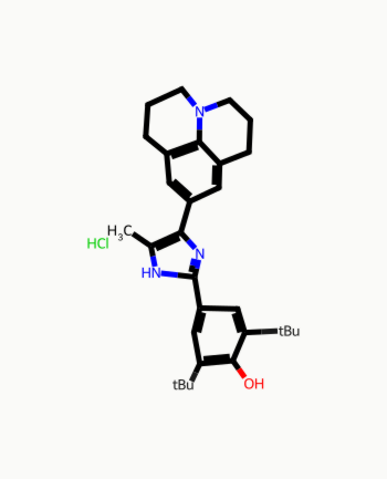 Cc1[nH]c(-c2cc(C(C)(C)C)c(O)c(C(C)(C)C)c2)nc1-c1cc2c3c(c1)CCCN3CCC2.Cl